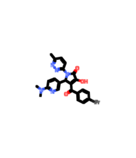 Cc1ccc(N2C(=O)C(O)=C(C(=O)c3ccc(C(C)C)cc3)C2c2ccc(N(C)C)nc2)nn1